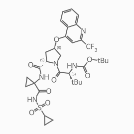 CC(C)(C)OC(=O)N[C@H](C(=O)N1C[C@H](Oc2cc(C(F)(F)F)nc3ccccc23)C[C@H]1C(=O)NC1(C(=O)NS(=O)(=O)C2CC2)CC1)C(C)(C)C